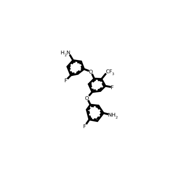 Nc1cc(F)cc(Oc2cc(F)c(C(F)(F)F)c(Oc3cc(N)cc(F)c3)c2)c1